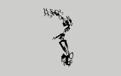 C[Si](C)(C)CCOCn1ccc2c(-c3cnn(C4(CC#N)CN(C5CCN(C(=O)c6ccnc(C(F)(F)F)c6F)CC5)C4)c3)ncnc21